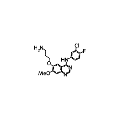 COc1cc2ncnc(Nc3ccc(F)c(Cl)c3)c2cc1OCCCN